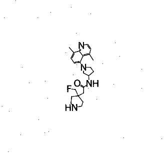 Cc1ccc(N2CCC(NC(=O)CC3(CF)CCNCC3)C2)c2c(C)ccnc12